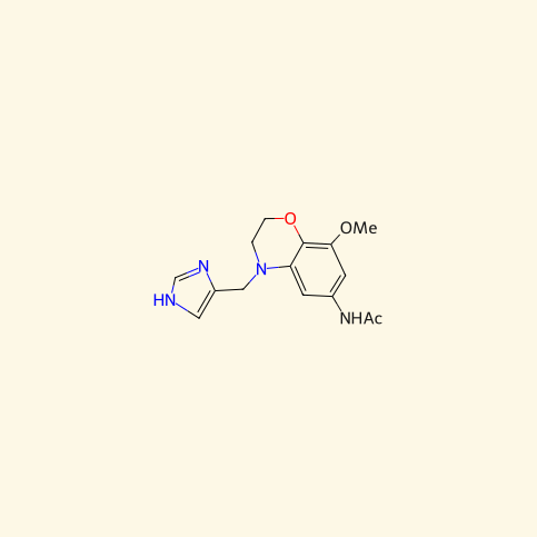 COc1cc(NC(C)=O)cc2c1OCCN2Cc1c[nH]cn1